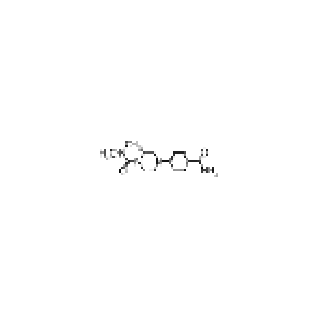 CN(C)C(=O)N1CCN(c2ccc(C(N)=O)cc2)CC1